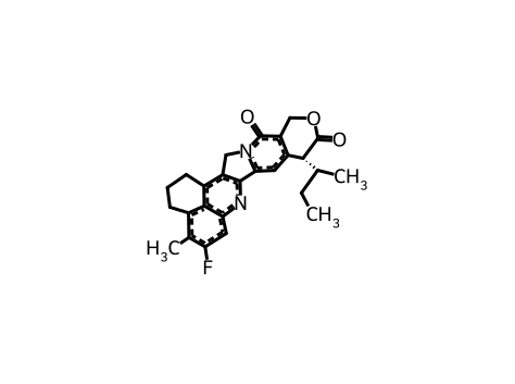 CCC(C)[C@H]1C(=O)OCc2c1cc1n(c2=O)Cc2c-1nc1cc(F)c(C)c3c1c2CCC3